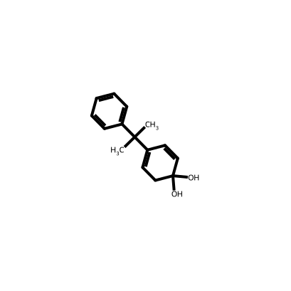 CC(C)(C1=CCC(O)(O)C=C1)c1ccccc1